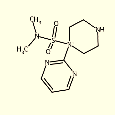 CN(C)S(=O)(=O)[N+]1(c2ncccn2)CCNCC1